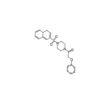 O=C(COc1ccccc1)N1CCN(S(=O)(=O)C2=CCC3C=CC=CC3=C2)CC1